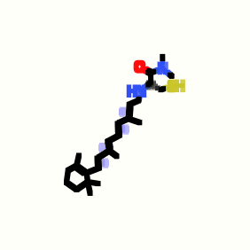 CC1=C(/C=C/C(C)=C/C=C/C(C)=C/CN[C@@H](CS)C(=O)N(C)C)C(C)(C)CCC1